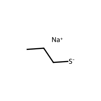 CCC[S-].[Na+]